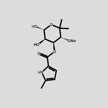 CO[C@@H]1[C@@H](OC(=O)c2ccc(C)[nH]2)[C@@H](O)[C@H](O)OC1(C)C